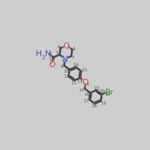 NC(=O)C1COCCN1Cc1ccc(OCc2cccc(Br)c2)cc1